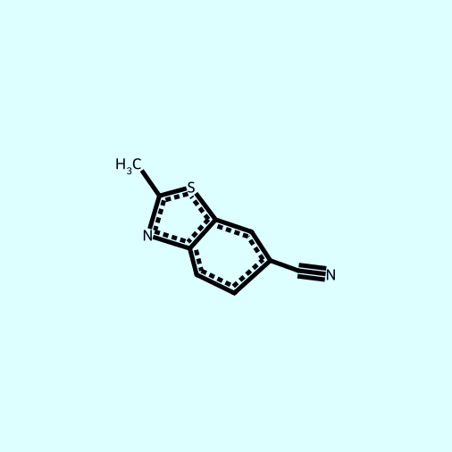 Cc1nc2ccc(C#N)cc2s1